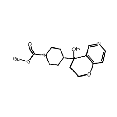 CC(C)(C)OC(=O)N1CCC(C2(O)CCOc3ccncc32)CC1